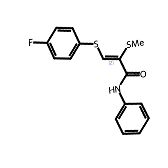 CS/C(=C\Sc1ccc(F)cc1)C(=O)Nc1ccccc1